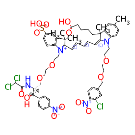 Cc1ccc2c(c1)C(C)(CCCCC(=O)O)\C(=C/C=C/C=C/C1=[N+](CCOCCOC[C@@H](NC(=O)C(Cl)Cl)[C@H](O)c3ccc([N+](=O)[O-])cc3)c3ccc(S(=O)(=O)O)cc3C1(C)C)N2CCOCCOCc1ccc([N+](=O)[O-])c(Cl)c1